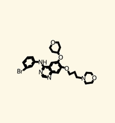 Brc1cccc(Nc2ncnc3cc(OCCCN4CCOCC4)c(OC4CCOCC4)cc23)c1